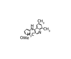 COc1cccc(Nc2c(C)cnc3c(C)cc(C)cc23)c1